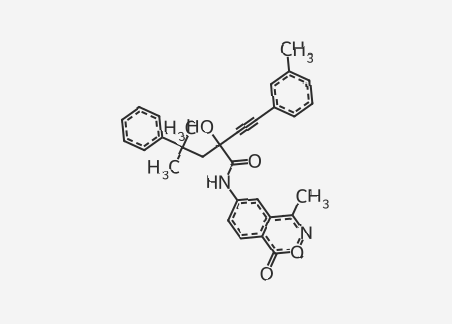 Cc1cccc(C#CC(O)(CC(C)(C)c2ccccc2)C(=O)Nc2ccc3c(=O)onc(C)c3c2)c1